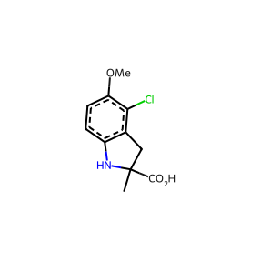 COc1ccc2c(c1Cl)CC(C)(C(=O)O)N2